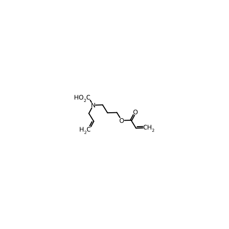 C=CCN(CCCOC(=O)C=C)C(=O)O